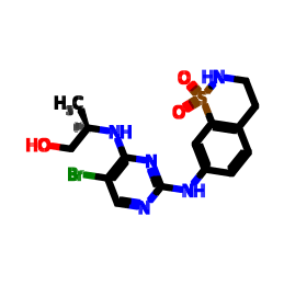 C[C@H](CO)Nc1nc(Nc2ccc3c(c2)S(=O)(=O)NCC3)ncc1Br